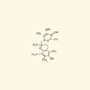 Cc1c(C)c2c(c(C)c1O)CCC(C)(C[C@H]1O[C@@H](C)[C@H](O)[C@@H](O)[C@H]1O)O2